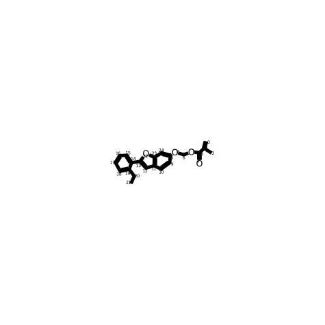 C=C(C)C(=O)OCOc1ccc2cc(-c3ccccc3CC)oc2c1